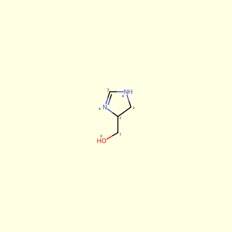 OCC1CN[C]=N1